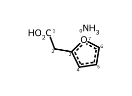 N.O=C(O)Cc1ccco1